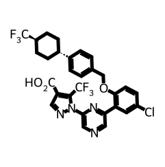 O=C(O)c1cnn(-c2cncc(-c3cc(Cl)ccc3OCc3ccc([C@H]4CC[C@H](C(F)(F)F)CC4)cc3)n2)c1C(F)(F)F